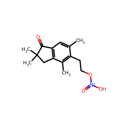 Cc1cc2c(c(C)c1CCO[N+](=O)O)CC(C)(C)C2=O